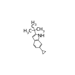 CC(C)(C)c1cc2ccc(C3CC3)cc2[nH]1